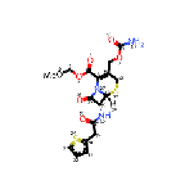 COCOC(=O)C1=C(COC(N)=O)CS[C@@H]2[C@H](NC(=O)Cc3cccs3)C(=O)N12